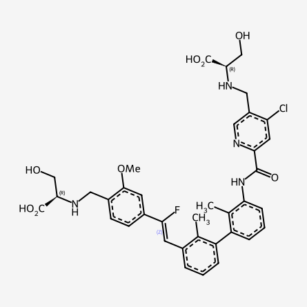 COc1cc(/C(F)=C/c2cccc(-c3cccc(NC(=O)c4cc(Cl)c(CN[C@H](CO)C(=O)O)cn4)c3C)c2C)ccc1CN[C@H](CO)C(=O)O